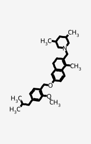 COc1cc(CC(C)C)ccc1COc1ccc2c(c1)CCC(CN1CC(C)CC(C)C1)=C2C